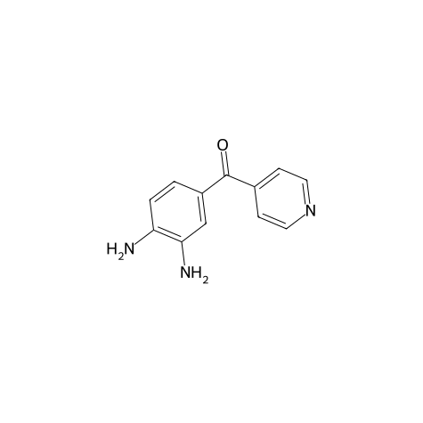 Nc1ccc(C(=O)c2ccncc2)cc1N